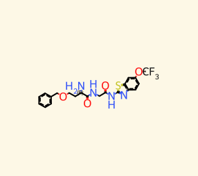 N[C@H](CCOCc1ccccc1)C(=O)NCC(=O)Nc1nc2ccc(OC(F)(F)F)cc2s1